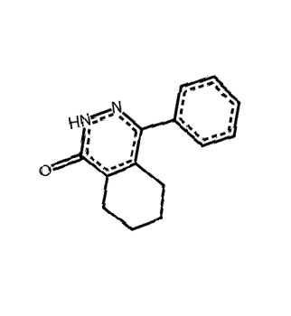 O=c1[nH]nc(-c2ccccc2)c2c1CCCC2